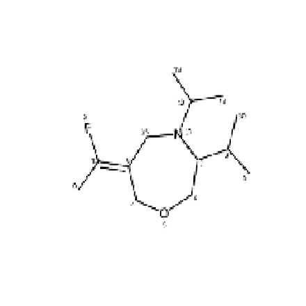 C/C(F)=C1\COCC(C(C)C)N(C(C)C)C1